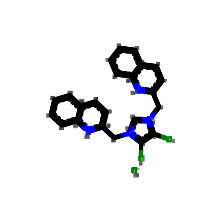 Clc1c(Cl)[n+](Cc2ccc3ccccc3n2)cn1Cc1ccc2ccccc2n1.[Cl-]